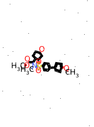 COC(=O)C(C1CCC(=O)CC1)N(C)S(=O)(=O)c1ccc(-c2ccc(OC)cc2)cc1